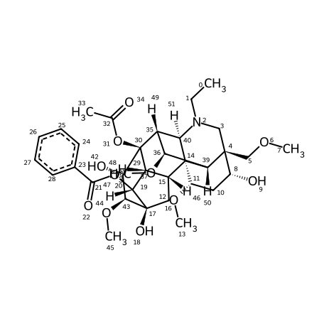 CCN1C[C@]2(COC)[C@H](O)C[C@H](OC)[C@@]34[C@@H]5C[C@@]6(O)[C@H](OC(=O)c7ccccc7)[C@@H]5[C@@](OC(C)=O)([C@@H]([C@H](OC)[C@H]23)[C@@H]14)[C@@H](O)[C@@H]6OC